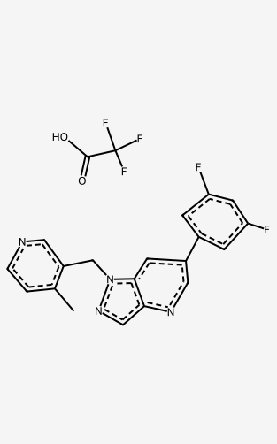 Cc1ccncc1Cn1ncc2ncc(-c3cc(F)cc(F)c3)cc21.O=C(O)C(F)(F)F